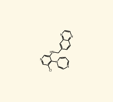 Clc1cncc(NCc2ccc3nccnc3c2)c1N1C=CC=NC=C1